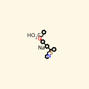 O=C(O)[C@@H](Cc1ccccc1)Oc1ccc(-c2ccc(-c3c(Cc4ccccn4)sc4ccccc34)cc2)cc1.[Na]